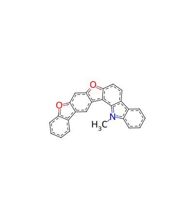 Cn1c2ccccc2c2ccc3oc4cc5oc6ccccc6c5cc4c3c21